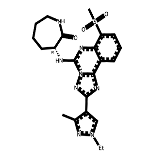 CCn1cc(-c2nc3c4cccc(S(C)(=O)=O)c4nc(N[C@@H]4CCCCNC4=O)n3n2)c(C)n1